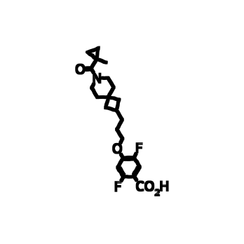 CC1(C(=O)N2CCC3(CC2)CC(CCCOc2cc(F)c(C(=O)O)cc2F)C3)CC1